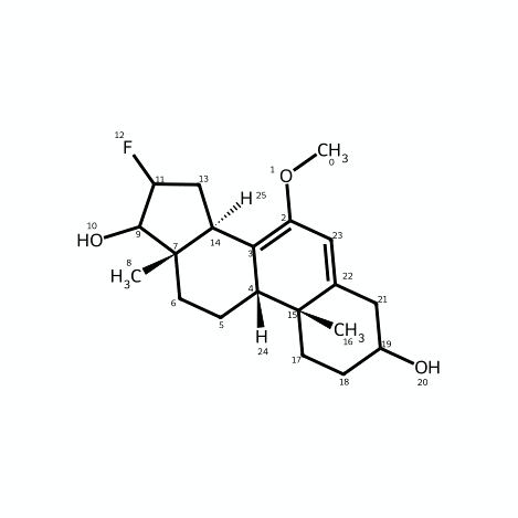 COC1=C2[C@@H](CC[C@]3(C)C(O)C(F)C[C@@H]23)[C@@]2(C)CCC(O)CC2=C1